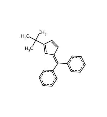 CC(C)(C)C1=CC(=C(c2ccccc2)c2ccccc2)C=C1